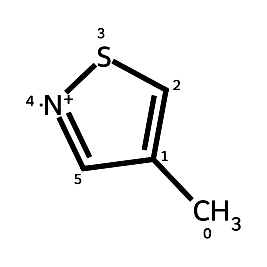 CC1=CS[N+]=C1